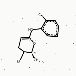 CCC1CC=C(Nc2ccccc2Cl)O[C@H]1C